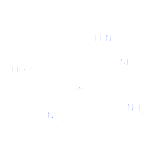 CC(C)[C@H](N)C(=O)O.NNC(N)=S